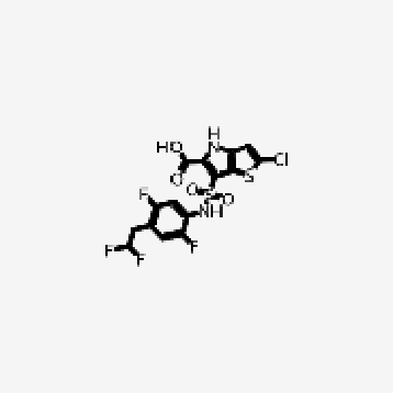 O=C(O)c1[nH]c2cc(Cl)sc2c1S(=O)(=O)Nc1cc(F)c(CC(F)F)cc1F